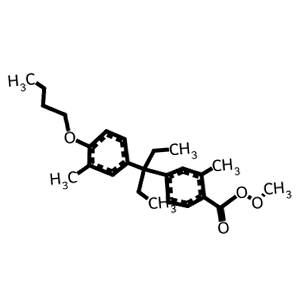 CCCCOc1ccc(C(CC)(CC)c2ccc(C(=O)OOC)c(C)c2)cc1C